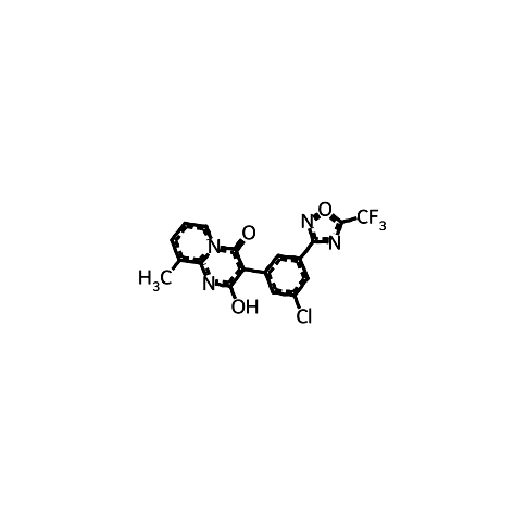 Cc1cccn2c(=O)c(-c3cc(Cl)cc(-c4noc(C(F)(F)F)n4)c3)c(O)nc12